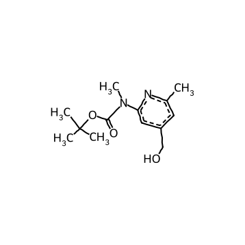 Cc1cc(CO)cc(N(C)C(=O)OC(C)(C)C)n1